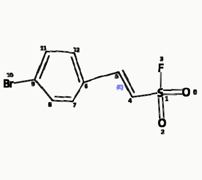 O=S(=O)(F)/C=C/c1ccc(Br)cc1